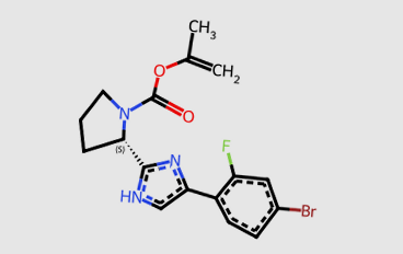 C=C(C)OC(=O)N1CCC[C@H]1c1nc(-c2ccc(Br)cc2F)c[nH]1